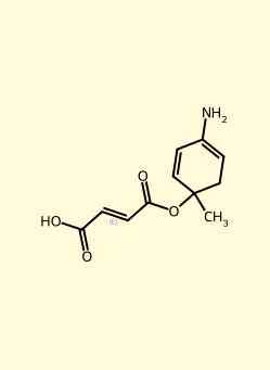 CC1(OC(=O)/C=C/C(=O)O)C=CC(N)=CC1